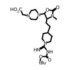 CN1C(=O)OC(N2CCN(CC(=O)O)CC2)C1CCC1CCN(C(=N)NC(=O)OC(C)(C)C)CC1